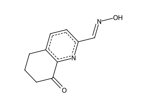 O=C1CCCc2ccc(/C=N/O)nc21